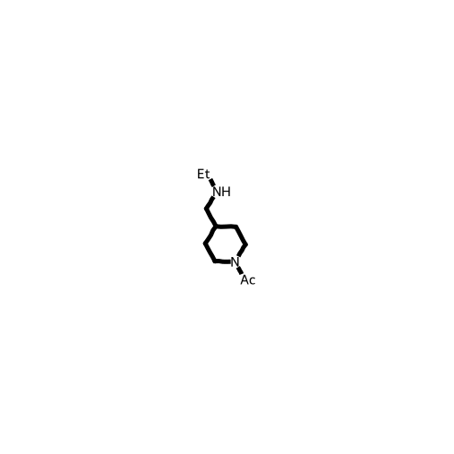 CCNCC1CCN(C(C)=O)CC1